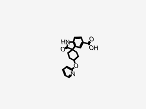 O=C(O)c1ccc2c(c1)C1(CCC(Oc3ccccn3)CC1)C(=O)N2